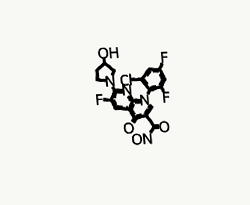 O=NC(=O)c1cn(-c2c(F)cc(F)cc2Cl)c2nc(N3CCC(O)C3)c(F)cc2c1=O